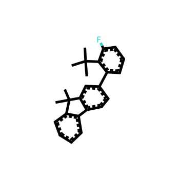 CC(C)(C)c1c(F)cccc1-c1ccc2c(c1)C(C)(C)c1ccccc1-2